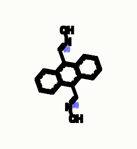 O/N=C/c1c2ccccc2c(/C=N/O)c2ccccc12